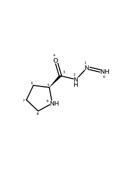 N=NNC(=O)[C@@H]1CCCN1